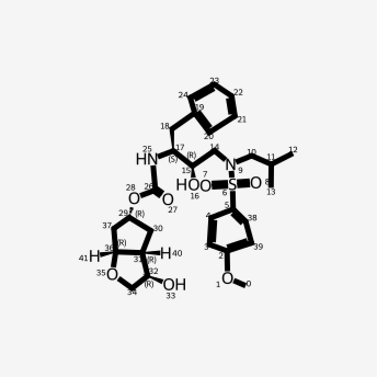 COc1ccc(S(=O)(=O)N(CC(C)C)C[C@@H](O)[C@H](Cc2ccccc2)NC(=O)O[C@@H]2C[C@@H]3[C@@H](O)CO[C@@H]3C2)cc1